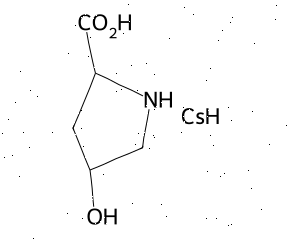 O=C(O)C1CC(O)CN1.[CsH]